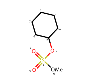 COS(=O)(=O)OC1CCCCC1